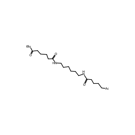 CC(=O)CCCCC(=O)NCCCCCCNC(=O)CCCCC(=O)C(C)(C)C